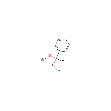 CCO[C]([Ti])(OCC)c1ccccc1